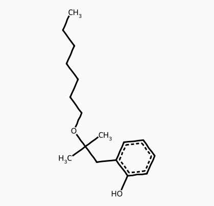 CCCCCCCOC(C)(C)Cc1ccccc1O